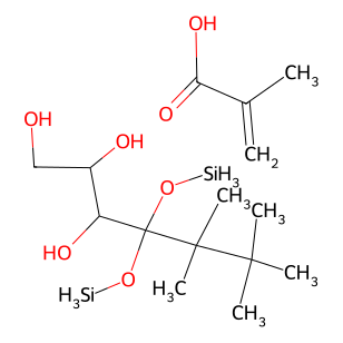 C=C(C)C(=O)O.CC(C)(C)C(C)(C)C(O[SiH3])(O[SiH3])C(O)C(O)CO